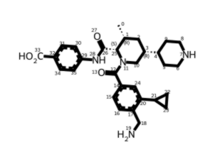 C[C@@H]1C[C@H](C2CCNCC2)CN(C(=O)c2ccc(CN)c(C3CC3)c2)[C@@H]1C(=O)Nc1ccc(C(=O)O)cc1